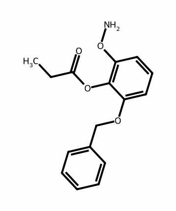 CCC(=O)Oc1c(ON)cccc1OCc1ccccc1